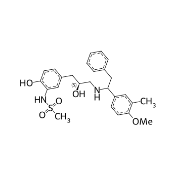 COc1ccc(C(Cc2ccccc2)NC[C@@H](O)Cc2ccc(O)c(NS(C)(=O)=O)c2)cc1C